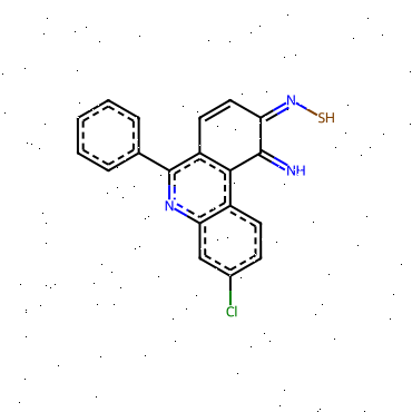 N=C1/C(=N\S)C=Cc2c(-c3ccccc3)nc3cc(Cl)ccc3c21